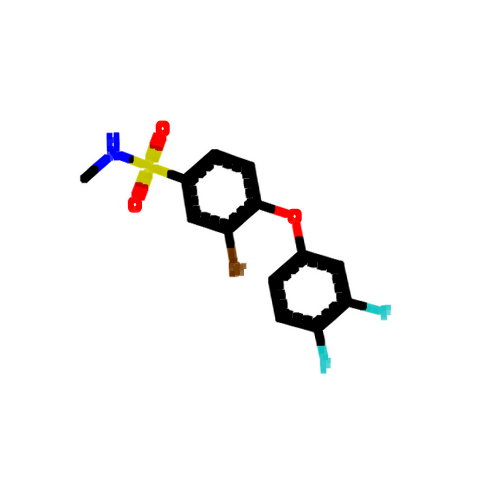 CNS(=O)(=O)c1ccc(Oc2ccc(F)c(F)c2)c(Br)c1